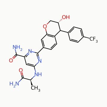 C[C@H](Nc1cc(C(N)=O)nc(-c2ccc3c(c2)OC[C@H](O)C3c2ccc(C(F)(F)F)cc2)n1)C(N)=O